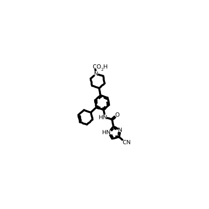 N#Cc1c[nH]c(C(=O)Nc2ccc(C3CCN(C(=O)O)CC3)cc2C2CC=CCC2)n1